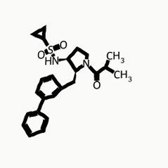 CC(C)C(=O)N1CC[C@H](NS(=O)(=O)C2CC2)[C@@H]1Cc1cccc(-c2ccccc2)c1